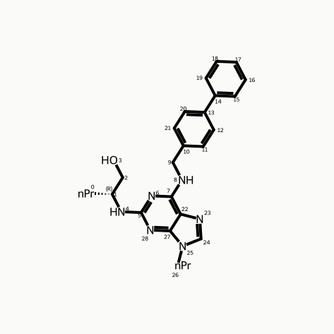 CCC[C@H](CO)Nc1nc(NCc2ccc(-c3ccccc3)cc2)c2ncn(CCC)c2n1